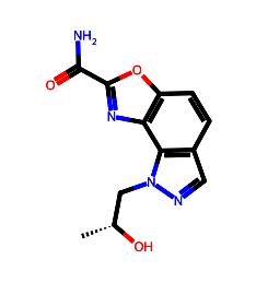 C[C@@H](O)Cn1ncc2ccc3oc(C(N)=O)nc3c21